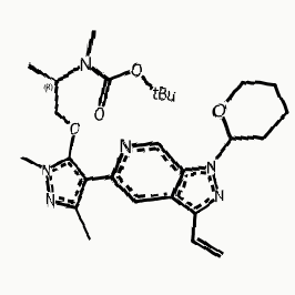 C=Cc1nn(C2CCCCO2)c2cnc(-c3c(C)nn(C)c3OC[C@@H](C)N(C)C(=O)OC(C)(C)C)cc12